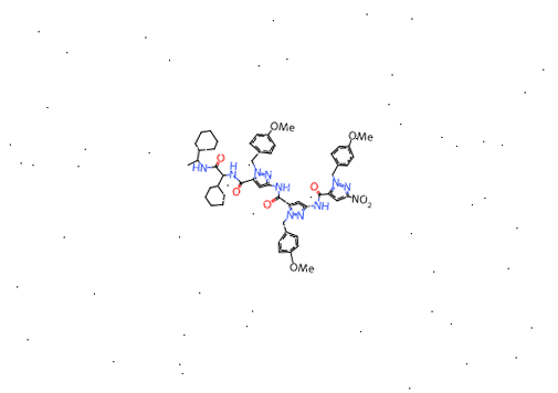 COc1ccc(Cn2nc(NC(=O)c3cc([N+](=O)[O-])nn3Cc3ccc(OC)cc3)cc2C(=O)Nc2cc(C(=O)NC(C(=O)NC(C)C3CCCCC3)C3CCCCC3)n(Cc3ccc(OC)cc3)n2)cc1